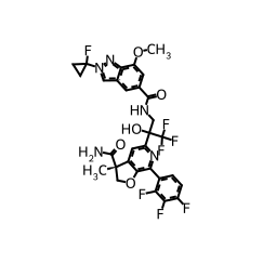 COc1cc(C(=O)NCC(O)(c2cc3c(c(-c4ccc(F)c(F)c4F)n2)OC[C@]3(C)C(N)=O)C(F)(F)F)cc2cn(C3(F)CC3)nc12